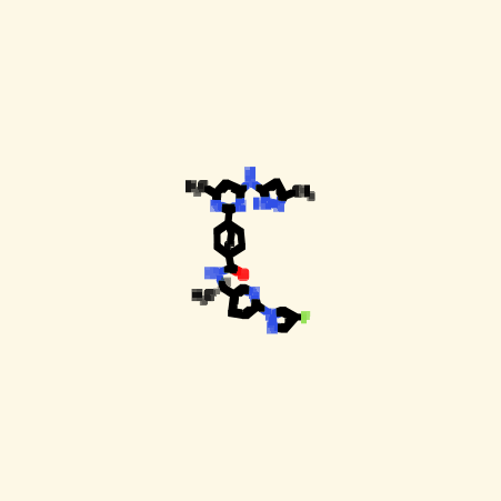 Cc1cc(Nc2cc(C)nc(C34CCC(C(=O)N[C@@H](C)c5ccc(-n6cc(F)cn6)nc5)(CC3)CC4)n2)[nH]n1